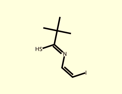 CC(C)(C)/C(S)=N/C=C\I